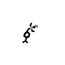 CCS(C#N)(CC)Cc1ccc(C(C)C)cc1